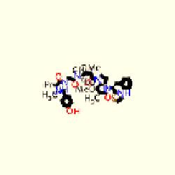 CC[C@H](C)[C@@H]([C@@H](CC(=O)N1CCC[C@H]1[C@H](OC)[C@@H](C)C(=O)N[C@@H](Cc1ccccc1)C1NC=CS1)OC)N(C)C(=O)CNC(=O)[C@H](C(C)C)N(C)Cc1ccc(O)cc1